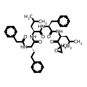 CC(C)C[C@H](NC(=O)[C@H](CCc1ccccc1)NC(=O)Cc1cc[c]cc1)C(=O)N[C@@H](Cc1ccccc1)C(=O)N[C@@H](CC(C)C)C(=O)[C@@]1(C)CO1